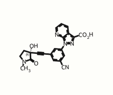 CN1CC[C@@](O)(C#Cc2cc(C#N)cc(-n3nc(C(=O)O)c4cccnc43)c2)C1=O